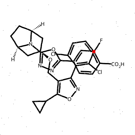 O=C(O)c1ccc(-c2nnc(N3[C@@H]4CC[C@H]3C[C@@H](OCc3c(-c5c(Cl)cccc5Cl)noc3C3CC3)C4)o2)cc1F